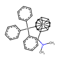 CN(C)C[C]12[CH]3[CH]4[CH]5[C]1([Si](c1ccccc1)(c1ccccc1)c1ccccc1)[Fe]43521678[CH]2[CH]1[CH]6[CH]7[CH]28